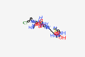 Cc1ncsc1-c1ccc([C@H](C)NC(=O)[C@@H]2C[C@@H](O)CN2C(=O)C(NC(=O)CCCCCCCCN2CCN(C3CCC(CNc4ccc(S(=O)(=O)NC(=O)c5ccc(N6CCN(CC7=C(c8ccc(Cl)cc8)CC(C)(C)CC7)CC6)cc5Oc5cnc6[nH]ccc6c5)cc4[N+](=O)[O-])CC3)CC2)C(C)(C)C)cc1